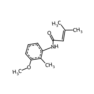 COc1cccc(NC(=O)C=C(C)C)c1C